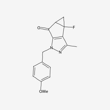 COc1ccc(Cn2nc(C)c3c2C(=O)C2CC32F)cc1